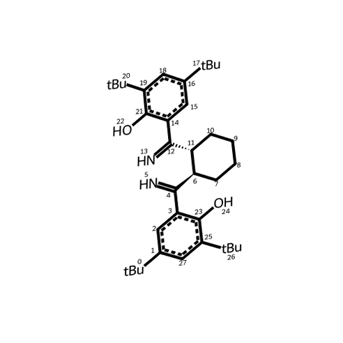 CC(C)(C)c1cc(C(=N)[C@@H]2CCCC[C@H]2C(=N)c2cc(C(C)(C)C)cc(C(C)(C)C)c2O)c(O)c(C(C)(C)C)c1